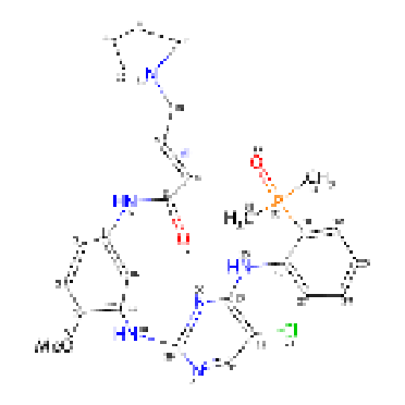 COc1ccc(NC(=O)/C=C/CN2CCCC2)cc1Nc1ncc(Cl)c(Nc2ccccc2P(C)(C)=O)n1